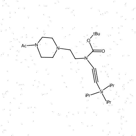 CC(=O)N1CCN(CCN(C#C[Si](C(C)C)(C(C)C)C(C)C)C(=O)OC(C)(C)C)CC1